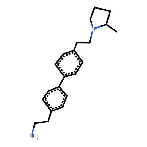 CC1CCCN1CCc1ccc(-c2ccc(CCN)cc2)cc1